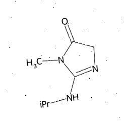 CC(C)NC1=NCC(=O)N1C